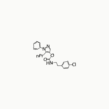 CCCc1c(OC(=O)NCCc2ccc(Cl)cc2)cnn1-c1ccccc1